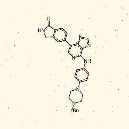 CC(C)(C)N1CCN(c2ccc(Nc3ncc(-c4ccc5c(c4)CNC5=O)n4ncnc34)cc2)CC1